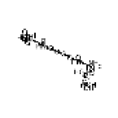 Nc1nc(=O)n([C@@H]2O[C@H](COP(=O)(O)O)C[C@@H]2O)cc1CCCNC(=O)CCOCCOCCOCCOCCNC(=O)CCCC[C@@H]1SC[C@@H]2NC(=O)N[C@@H]21